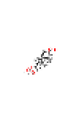 CCOC(=O)O[C@H]1CC[C@H]2[C@@H]3CC[C@H]4C[C@@H](O)C=C[C@]4(C)[C@H]3CC[C@]12C